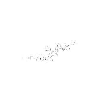 C=C(/N=C\C=C/N)N1CCN(C(=O)c2cn3c4c(c(N5CCC(NC(=O)c6cccc(OC)c6OC)C5)c(F)cc4c2=O)Oc2ccccc2-3)CC1